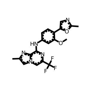 COc1cc(Nc2nc(C(F)(F)F)cn3cc(C)nc23)ccc1-c1cnc(C)o1